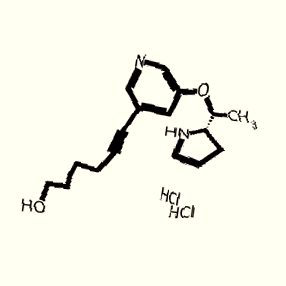 CC(Oc1cncc(C#CCCCCO)c1)[C@@H]1CCCN1.Cl.Cl